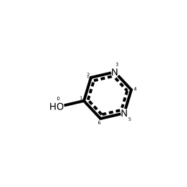 Oc1[c]ncnc1